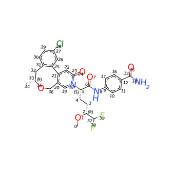 CO[C@H](CC[C@@H](C(=O)Nc1ccc(C(N)=O)cc1)n1cc2c(cc1=O)-c1cc(Cl)ccc1C[C@@H](C)OC2)C(F)F